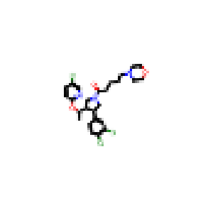 CC(Oc1ccc(Cl)cn1)C1CN(C(=O)CCCCN2CCOCC2)CC1c1ccc(Cl)c(Cl)c1